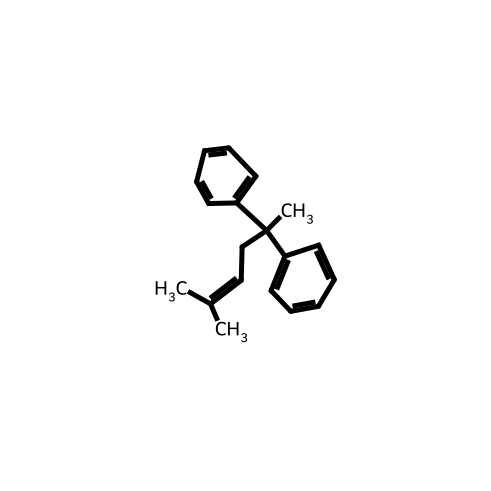 CC(C)=CCC(C)(c1ccccc1)c1ccccc1